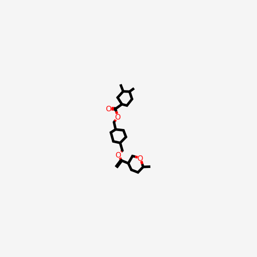 C=C(OCC1CCC(COC(=O)C2CCC(C)C(C)C2)CC1)C1CCC(C)OC1